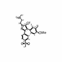 COc1ccc(-c2c(-c3ccc(S(C)(=O)=O)cc3)nn(CCN(C)C)c2C(F)(F)F)cc1C